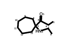 CCNC1(C(=O)CC)CCCCCC1